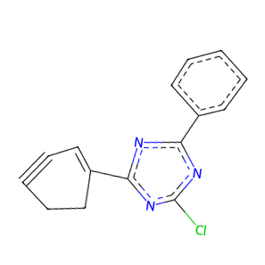 Clc1nc(C2=CC#CCC2)nc(-c2ccccc2)n1